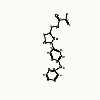 C=C(C)C(=O)SCC1CSC(c2ccc(Oc3ccccc3)cc2)S1